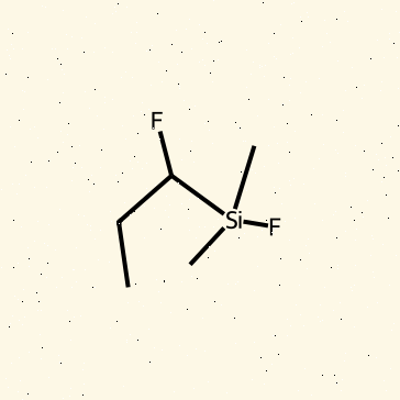 CCC(F)[Si](C)(C)F